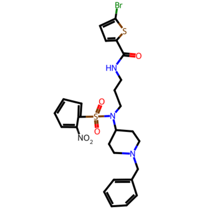 O=C(NCCCN(C1CCN(Cc2ccccc2)CC1)S(=O)(=O)c1ccccc1[N+](=O)[O-])c1ccc(Br)s1